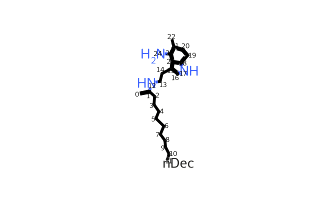 C=C(CCCCCCCCCCCCCCCCCCC)NCCc1c[nH]c2ccc(C)c(N)c12